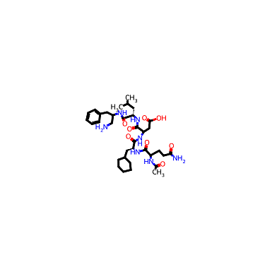 CC(=O)NC(CCC(N)=O)C(=O)N[C@@H](CC1CCCCC1)C(=O)NC(CC(=O)O)C(=O)N[C@@H](CC(C)C)C(=O)NC(CN)Cc1ccccc1